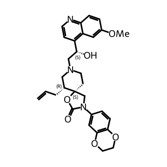 C=CC[C@@H]1CN(C[C@@H](O)c2ccnc3ccc(OC)cc23)CC[C@@]12CN(c1ccc3c(c1)OCCO3)C(=O)O2